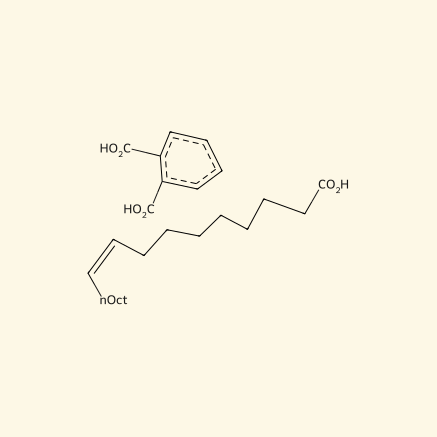 CCCCCCCC/C=C\CCCCCCCC(=O)O.O=C(O)c1ccccc1C(=O)O